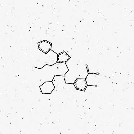 CCCCn1c(CN(Cc2ccc(O)c(C(=O)O)c2)CC2CCCCC2)cnc1-c1ccccc1